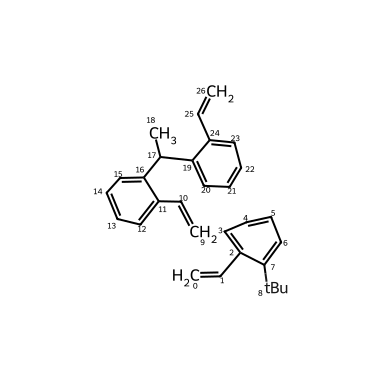 C=Cc1ccccc1C(C)(C)C.C=Cc1ccccc1C(C)c1ccccc1C=C